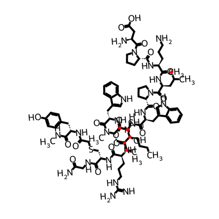 CCCC[C@@H](C(=O)N(C)[C@@H](CCCC)C(=O)N[C@@H](CCCNC(=N)N)C(=O)N[C@@H](CSCC(=O)N[C@@H](Cc1ccc(O)cc1)C(=O)NC)C(=O)NCC(N)=O)N(C)C(=O)[C@H](Cc1c[nH]c2ccccc12)NC(=O)[C@H](CO)NC(=O)[C@H](Cc1c[nH]c2ccccc12)NC(=O)[C@@H]1CCCN1C(=O)[C@H](CC(C)C)NC(=O)[C@H](CCCN)NC(=O)[C@@H]1CCCN1C(=O)[C@@H](N)CC(=O)O